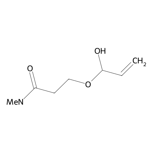 C=CC(O)OCCC(=O)NC